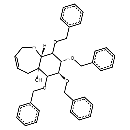 O[C@]12CC=CCO[C@@H]1C(OCc1ccccc1)[C@H](OCc1ccccc1)[C@@H](OCc1ccccc1)C2OCc1ccccc1